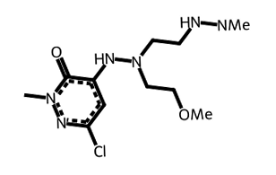 CNNCCN(CCOC)Nc1cc(Cl)nn(C)c1=O